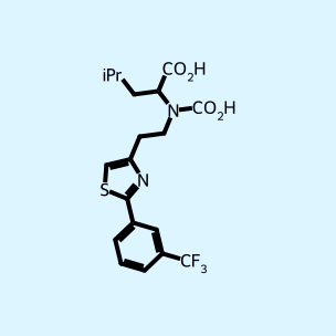 CC(C)CC(C(=O)O)N(CCc1csc(-c2cccc(C(F)(F)F)c2)n1)C(=O)O